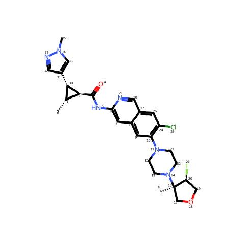 C[C@H]1[C@H](C(=O)Nc2cc3cc(N4CCN([C@]5(C)COC[C@@H]5F)CC4)c(Cl)cc3cn2)[C@H]1c1cnn(C)c1